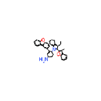 C=Cc1c(-c2oc3ccccc3c2C)n(C2CC=C(N)C=C2c2ccc3oc4ccccc4c3c2)c2ccccc12